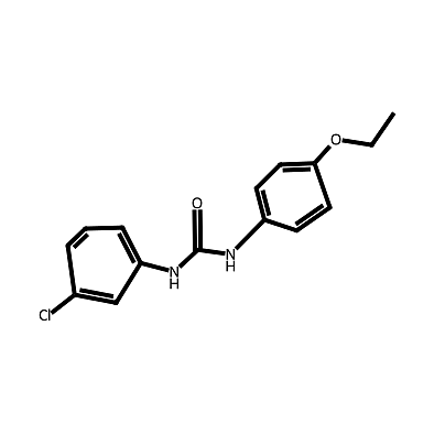 CCOc1ccc(NC(=O)Nc2cccc(Cl)c2)cc1